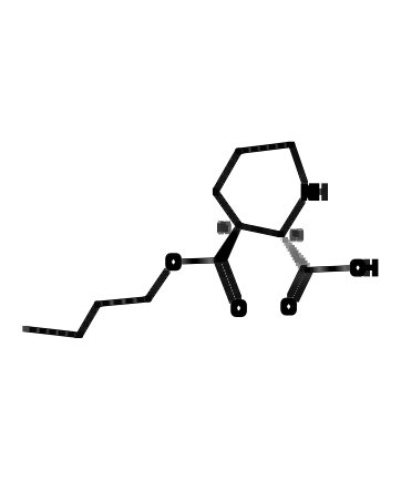 CCCCOC(=O)[C@H]1CCCN[C@@H]1C(=O)O